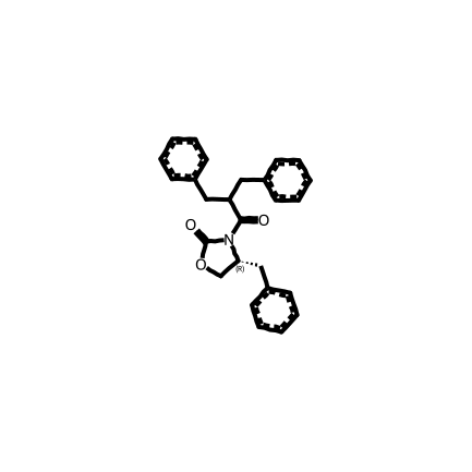 O=C1OC[C@@H](Cc2ccccc2)N1C(=O)C(Cc1ccccc1)Cc1ccccc1